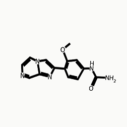 COc1cc(NC(N)=O)ccc1-c1cn2ccncc2n1